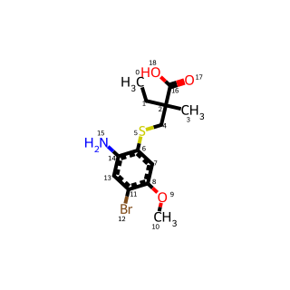 CCC(C)(CSc1cc(OC)c(Br)cc1N)C(=O)O